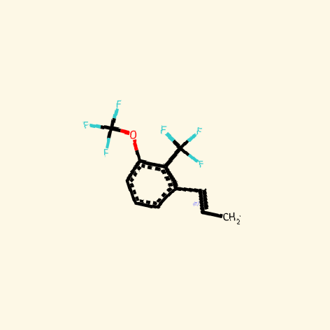 [CH2]/C=C/c1cccc(OC(F)(F)F)c1C(F)(F)F